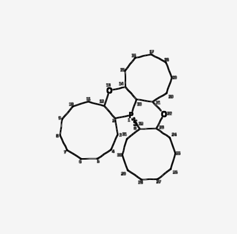 S=P12C3CCCCCCCCCC3OC3CCCCCCC(OC4CCCCCCCCC41)C32